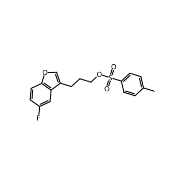 Cc1ccc(S(=O)(=O)OCCCc2coc3ccc(F)cc23)cc1